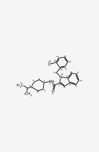 CC(C)N1CCC(NC(=O)c2cc3ccccc3n2Cc2ccccc2Cl)CC1